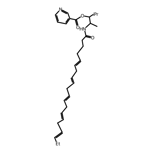 CCC=CCC=CCC=CCC=CCC=CCCCC(=O)NC(C)C(OC(=O)c1cccnc1)C(C)C